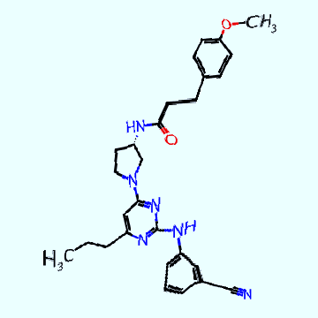 CCCc1cc(N2CC[C@H](NC(=O)CCc3ccc(OC)cc3)C2)nc(Nc2cccc(C#N)c2)n1